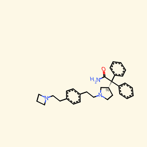 NC(=O)C(c1ccccc1)(c1ccccc1)[C@@H]1CCN(CCc2ccc(CCN3CCC3)cc2)C1